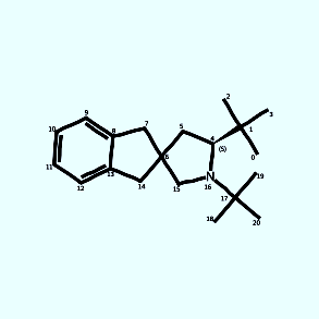 CC(C)(C)[C@@H]1CC2(Cc3ccccc3C2)CN1C(C)(C)C